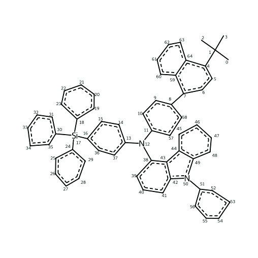 CC(C)(C)c1ccc(-c2ccc(N(c3ccc([Si](c4ccccc4)(c4ccccc4)c4ccccc4)cc3)c3cccc4c3c3ccccc3n4-c3ccccc3)cc2)c2ccccc12